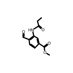 CCC(=O)Nc1cc(C(=O)OC)ccc1C=O